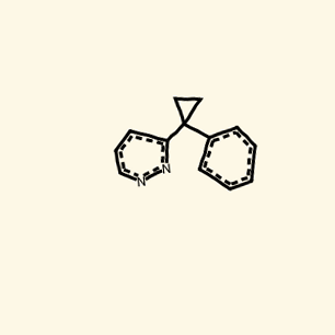 c1ccc(C2(c3cccnn3)CC2)cc1